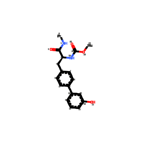 CC(C)NC(=O)[C@H](Cc1ccc(-c2cccc(O)c2)cc1)NC(=O)OC(C)(C)C